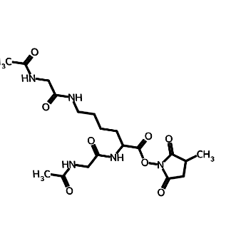 CC(=O)NCC(=O)NCCCCC(NC(=O)CNC(C)=O)C(=O)ON1C(=O)CC(C)C1=O